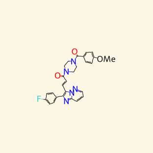 COc1ccc(C(=O)N2CCN(C(=O)/C=C/c3c(-c4ccc(F)cc4)nc4cccnn34)CC2)cc1